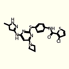 CC1CC(Nc2cc(N3CCC3)nc(Sc3ccc(NC(=O)c4sccc4Cl)cc3)n2)=NN1